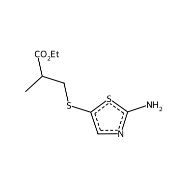 CCOC(=O)C(C)CSc1cnc(N)s1